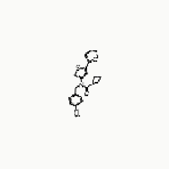 O=C(C1CCC1)N(Cc1ccc(Cl)cc1)c1csc(-c2ccccc2)c1